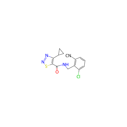 [C-]#[N+]c1cccc(Cl)c1CNC(=O)c1snnc1C1CC1